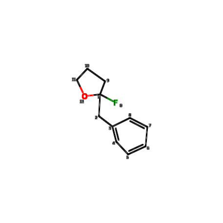 FC1(Cc2ccccc2)CCCO1